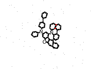 c1ccc(-c2ccc(N(c3ccccc3)c3cc(N(c4ccccc4)c4ccccc4-c4ccccc4)c4c(c3)oc3cc5ccccc5cc34)cc2)cc1